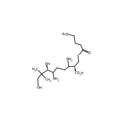 CC(=O)OCCCC(=O)SC[C@@H](C(=O)O)C(N)CCC(N)[C@H](O)C(C)(C)CO